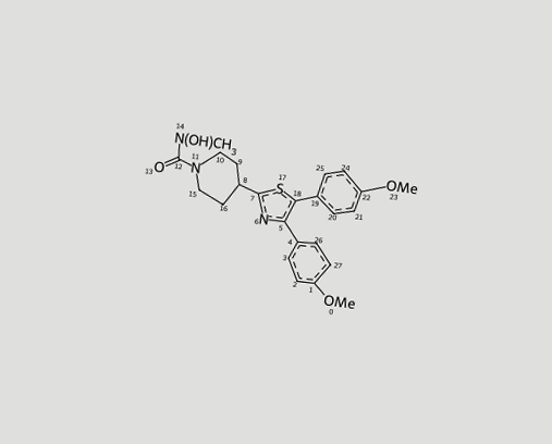 COc1ccc(-c2nc(C3CCN(C(=O)N(C)O)CC3)sc2-c2ccc(OC)cc2)cc1